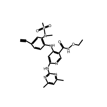 C#Cc1ccc(Nc2cc(Nc3nc(C)cc(C)n3)ncc2C(=O)NOCC)c(N(C)S(C)(=O)=O)c1